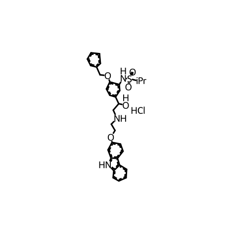 CC(C)S(=O)(=O)Nc1cc(C(O)CNCCOc2ccc3c(c2)[nH]c2ccccc23)ccc1OCc1ccccc1.Cl